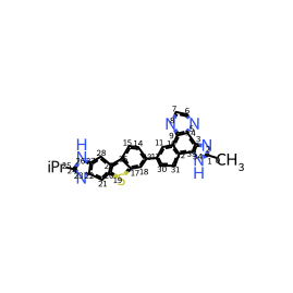 Cc1nc2c3nccnc3c3cc(-c4ccc5c(c4)sc4cc6nc(C(C)C)[nH]c6cc45)ccc3c2[nH]1